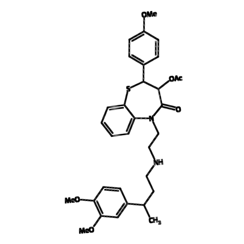 COc1ccc(C2Sc3ccccc3N(CCNCCC(C)c3ccc(OC)c(OC)c3)C(=O)C2OC(C)=O)cc1